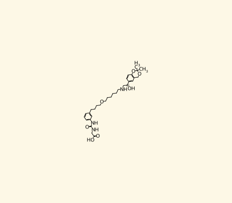 CC1(C)OCc2cc([C@H](O)CNCCCCCCOCCCCc3cccc(NC(=O)NCC(=O)O)c3)ccc2O1